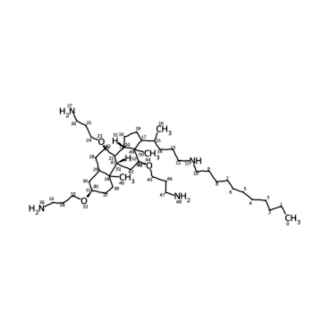 CCCCCCCCCCCNCCCC(C)C1CC[C@H]2C3[C@H](OCCCN)CC4C[C@H](OCCCN)CCC4(C)[C@H]3C[C@H](OCCCN)C12C